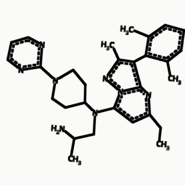 CCc1cc(N(CC(C)N)C2CCN(c3ncccn3)CC2)n2nc(C)c(-c3c(C)cccc3C)c2n1